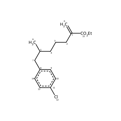 C=C(CCCC(C)Cc1ccc(Cl)cc1)C(=O)OCC